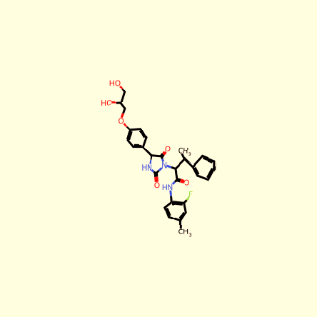 Cc1ccc(NC(=O)C(C(C)c2ccccc2)N2C(=O)NC(c3ccc(OCC(O)CO)cc3)C2=O)c(F)c1